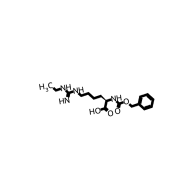 CCNC(=N)NCCCC[C@@H](NC(=O)OCc1ccccc1)C(=O)O